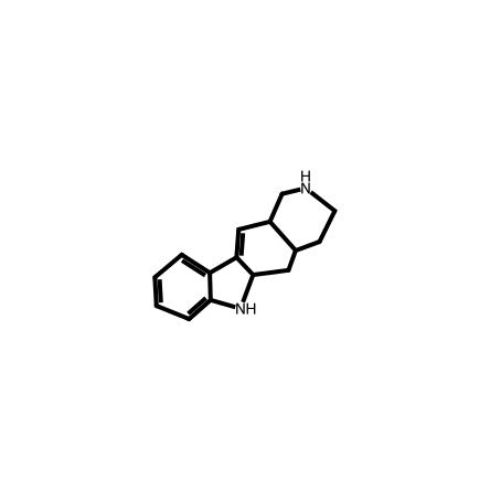 C1=C2c3ccccc3NC2CC2CCNCC12